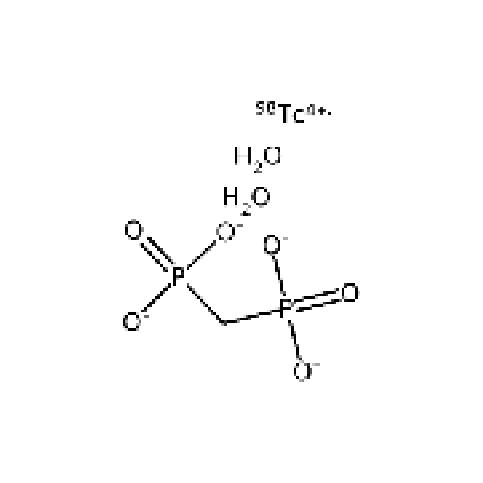 O.O.O=P([O-])([O-])CP(=O)([O-])[O-].[98Tc+4]